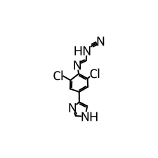 N#CNC=Nc1c(Cl)cc(-c2c[nH]cn2)cc1Cl